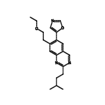 CCOCCc1cc2nc(CCC(C)C)ncc2cc1-c1cnco1